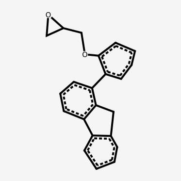 c1ccc2c(c1)Cc1c-2cccc1-c1ccccc1OCC1CO1